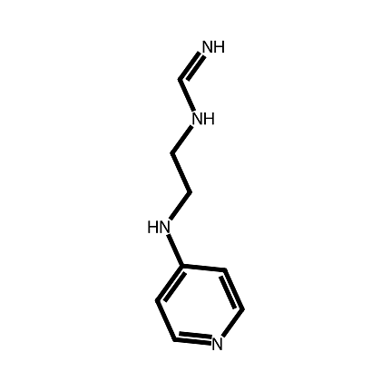 N=CNCCNc1ccncc1